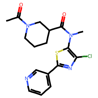 CC(=O)N1CCCC(C(=O)N(C)c2sc(-c3cccnc3)nc2Cl)C1